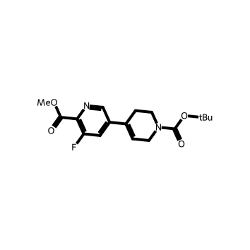 COC(=O)c1ncc(C2=CCN(C(=O)OC(C)(C)C)CC2)cc1F